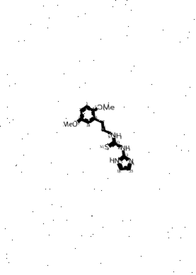 COc1ccc(OC)c(CCNC(=S)Nc2ncc[nH]2)c1